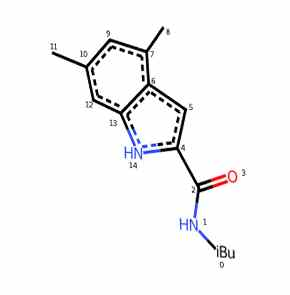 CCC(C)NC(=O)c1cc2c(C)cc(C)cc2[nH]1